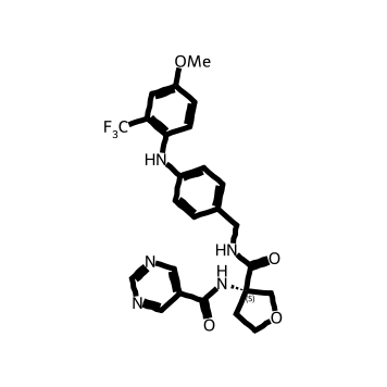 COc1ccc(Nc2ccc(CNC(=O)[C@]3(NC(=O)c4cncnc4)CCOC3)cc2)c(C(F)(F)F)c1